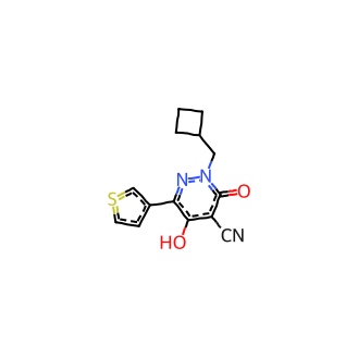 N#Cc1c(O)c(-c2ccsc2)nn(CC2CCC2)c1=O